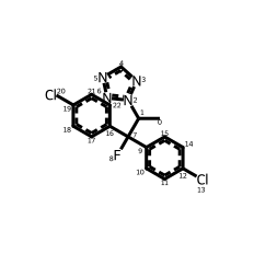 CC(n1ncnn1)C(F)(c1ccc(Cl)cc1)c1ccc(Cl)cc1